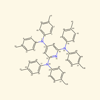 Cc1ccc(N(c2ccc(C)cc2)c2cc(N(c3ccc(C)cc3)c3ccc(C)cc3)nc(N(c3ccc(C)cc3)c3ccc(C)cc3)c2)cc1